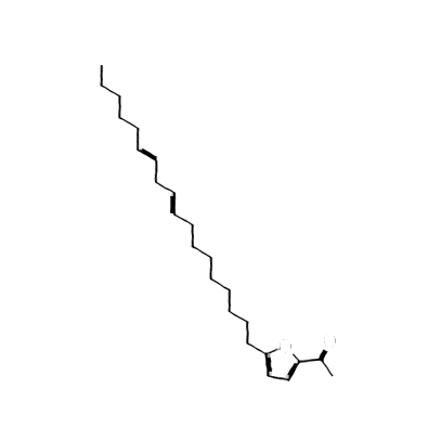 CCCCC/C=C/C/C=C/CCCCCCCCc1ccc(C(C)=O)o1